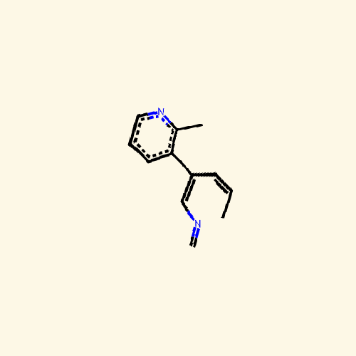 C=N/C=C(\C=C/C)c1cccnc1C